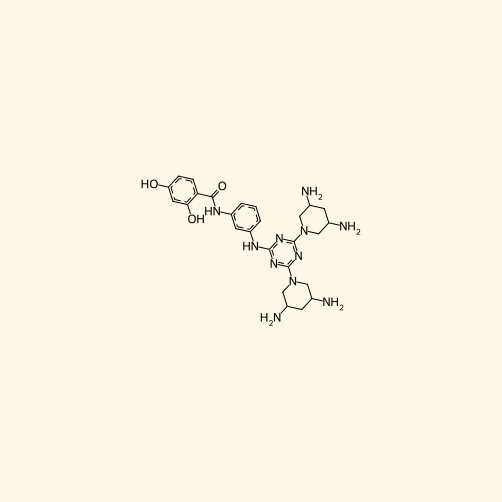 NC1CC(N)CN(c2nc(Nc3cccc(NC(=O)c4ccc(O)cc4O)c3)nc(N3CC(N)CC(N)C3)n2)C1